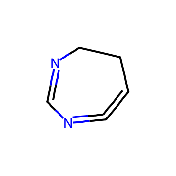 C1=CCCN=CN=1